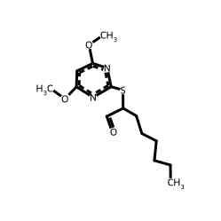 CCCCCCC(C=O)Sc1nc(OC)cc(OC)n1